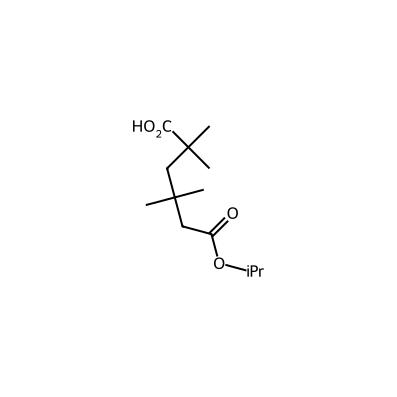 CC(C)OC(=O)CC(C)(C)CC(C)(C)C(=O)O